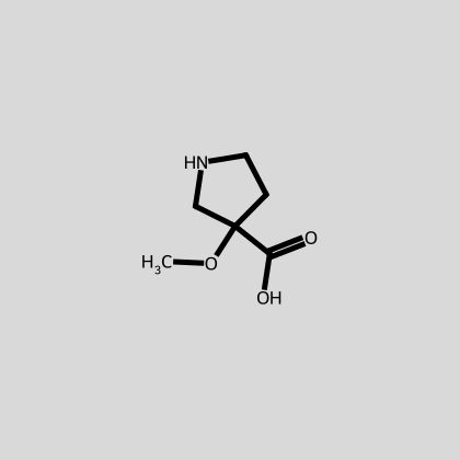 COC1(C(=O)O)CCNC1